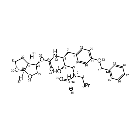 CC(C)CN(C[C@@H](O)[C@H](Cc1ccc(OCc2ccccc2)cc1)NC(=O)O[C@H]1CO[C@H]2OCC[C@H]21)[SH](=O)=O